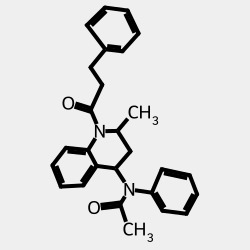 CC(=O)N(c1ccccc1)C1CC(C)N(C(=O)CCc2ccccc2)c2ccccc21